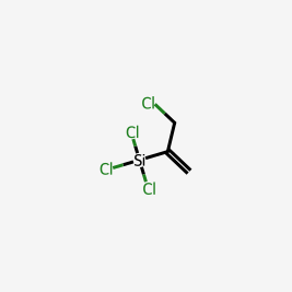 C=C(CCl)[Si](Cl)(Cl)Cl